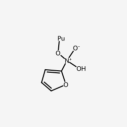 [O-][N+](O)([O][Pu])c1ccco1